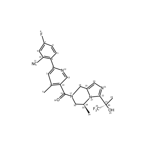 Cc1cc(-c2ccc(F)cc2C#N)ncc1C(=O)N1Cc2cnc([C@@](C)(O)C(F)(F)F)n2[C@@H](C)C1